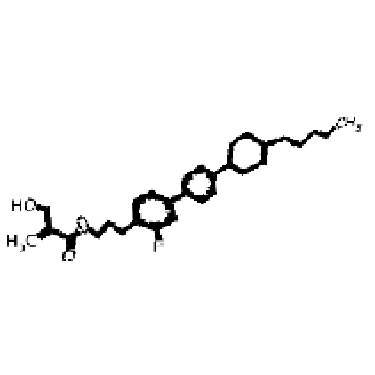 C=C(CO)C(=O)OCCCc1ccc(-c2ccc(C3CCC(CCCCC)CC3)cc2)cc1F